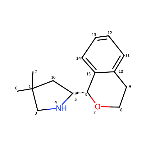 CC1(C)CNC([C@H]2OCCc3ccccc32)C1